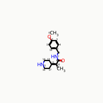 COc1ccc(CNC(=O)C(C)=C2CCNCC2)cc1